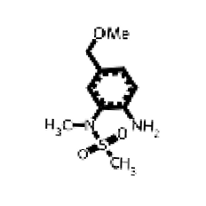 COCc1ccc(N)c(N(C)S(C)(=O)=O)c1